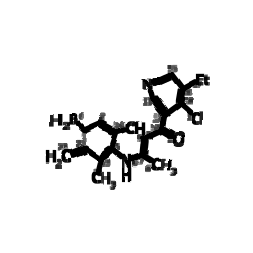 BC/C=C(C)\C(N/C(C)=C/C(=O)c1cncc(CC)c1Cl)=C(\C)C=C